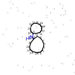 C1CCCCCCC(NC2CCCCCCCCCC2)CCCCC1